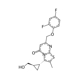 Cc1sc2nc(COc3ccc(F)cc3F)cc(=O)n2c1[C@@H]1C[C@H]1CO